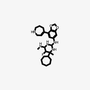 CNC1NC(Nc2cc3c(c(C4=CCNCCC4)c2)OCO3)NC(C)(C2CCCCCC2)C1F